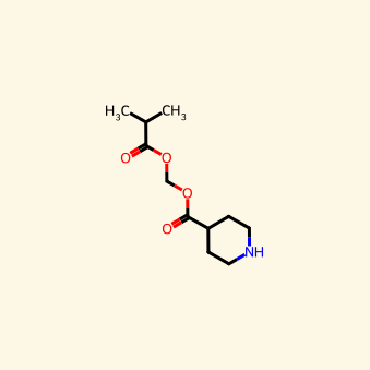 CC(C)C(=O)OCOC(=O)C1CCNCC1